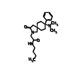 CCCCNC(=O)CN1CC2(CCC(c3ccccc3)(N(C)C)CC2)CC1=O